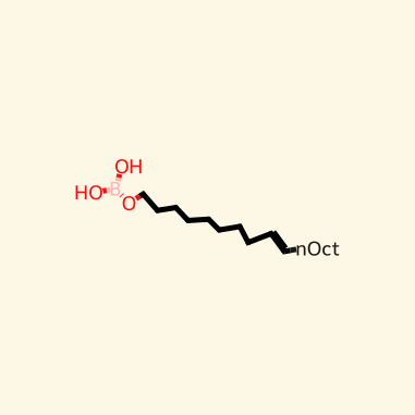 CCCCCCCCC=CCCCCCCCCOB(O)O